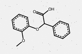 COc1ccccc1OC(C(=O)O)c1ccccc1